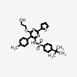 Cc1ccc(-c2c(NS(=O)(=O)c3ccc(C(C)(C)C)cc3)nc(-c3cccs3)nc2OCCO)cc1